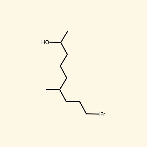 CC(C)CCCC(C)CCCC(C)O